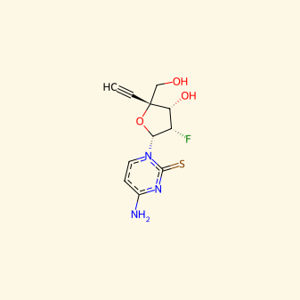 C#C[C@]1(CO)O[C@@H](n2ccc(N)nc2=S)[C@@H](F)[C@H]1O